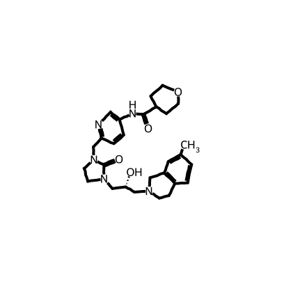 Cc1ccc2c(c1)CN(C[C@@H](O)CN1CCN(Cc3ccc(NC(=O)C4CCOCC4)cn3)C1=O)CC2